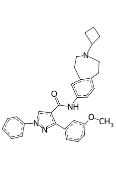 COc1cccc(-c2nn(-c3ccccc3)cc2C(=O)Nc2ccc3c(c2)CCN(C2CCC2)CC3)c1